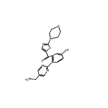 N#Cc1ccc(-c2ncc(CN)cn2)c(C(=O)c2cnc(N3CCOCC3)o2)c1